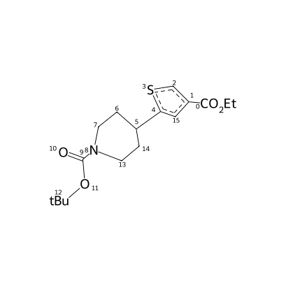 CCOC(=O)c1csc(C2CCN(C(=O)OC(C)(C)C)CC2)c1